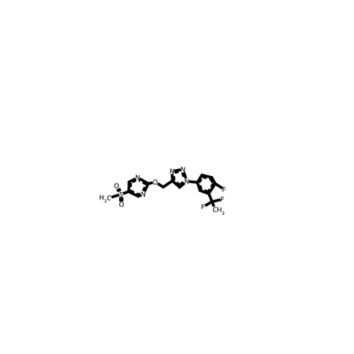 CC(F)(F)c1cc(-n2cc(COc3ncc(S(C)(=O)=O)cn3)nn2)ccc1F